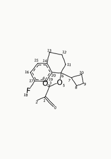 C=C(C)C(=O)OC1(C2CCC2)CCCc2ccc(F)cc21